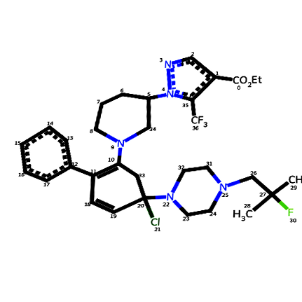 CCOC(=O)c1cnn(C2CCCN(C3=C(c4ccccc4)C=CC(Cl)(N4CCN(CC(C)(C)F)CC4)C3)C2)c1C(F)(F)F